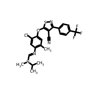 Cc1cc(Oc2snc(-c3ccc(C(F)(F)F)cc3)c2C#N)c(Cl)cc1N=CN(C)C(C)C